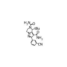 CC(C)(C)C1c2c(C(N)=O)c(-c3cccc(C#N)c3)nn2CCN1C(N)=O